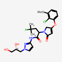 COc1cccc(OC2=CC(=O)N(C(CC(C)(C)F)C(=O)Nc3ccn(C[C@@H](O)CO)n3)C2)c1Cl